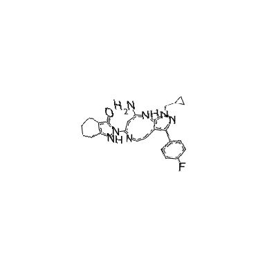 Nc1cc(-n2[nH]c3c(c2=O)CCCC3)nccc2c(-c3ccc(F)cc3)nn(CC3CC3)c2[nH]1